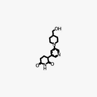 O=C1CCC(c2cncc(N3CCC(CO)CC3)c2)C(=O)N1